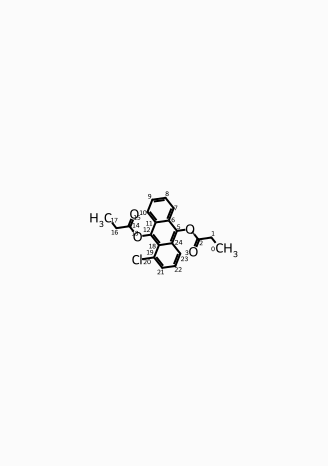 CCC(=O)Oc1c2ccccc2c(OC(=O)CC)c2c(Cl)cccc12